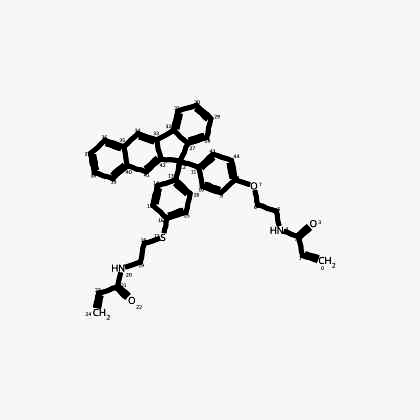 C=CC(=O)NCCOc1ccc(C2(c3ccc(SCCNC(=O)C=C)cc3)c3ccccc3-c3cc4ccccc4cc32)cc1